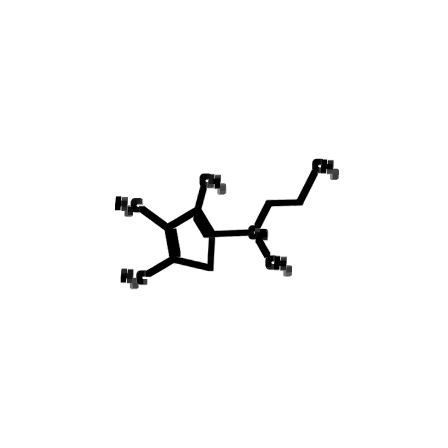 CC[CH2][Ga]([CH3])[C]1=C(C)C(C)=C(C)C1